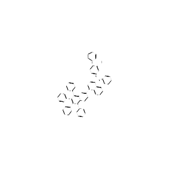 c1ccc(-c2c(-c3ccccc3)c(-c3ccccc3)c3cc(-c4ccc(N(c5ccccc5)c5ccc6c(c5)oc5ccccc56)c5ccccc45)ccc3c2-c2ccccc2)cc1